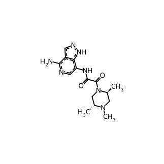 C[C@@H]1CN(C(=O)C(=O)Nc2cnc(N)c3cn[nH]c23)[C@@H](C)CN1C